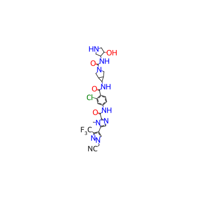 Cn1c(-c2cn(CC#N)nc2C(F)(F)F)cnc1C(=O)Nc1ccc(C(=O)NC2C3CN(C(=O)NC4CNCC4O)CC32)c(Cl)c1